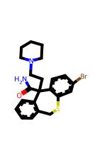 NC(=O)C1(CCN2CCCCC2)c2ccccc2CSc2cc(Br)ccc21